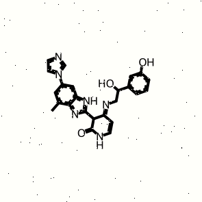 Cc1cc(-n2ccnc2)cc2[nH]c(C3C(=O)NC=CC3=NCC(O)c3cccc(O)c3)nc12